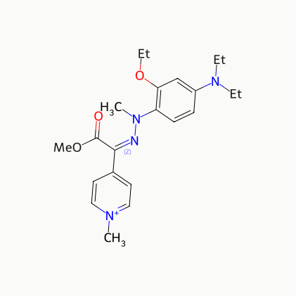 CCOc1cc(N(CC)CC)ccc1N(C)/N=C(\C(=O)OC)c1cc[n+](C)cc1